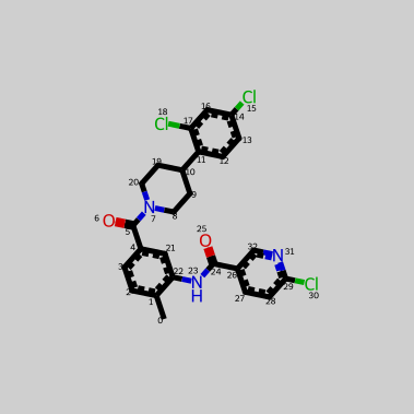 Cc1ccc(C(=O)N2CCC(c3ccc(Cl)cc3Cl)CC2)cc1NC(=O)c1ccc(Cl)nc1